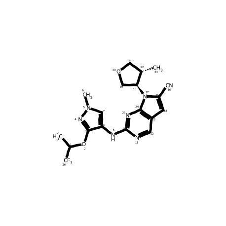 CC(Oc1nn(C)cc1Nc1ncc2cc(C#N)n([C@H]3COC[C@@H]3C)c2n1)C(F)(F)F